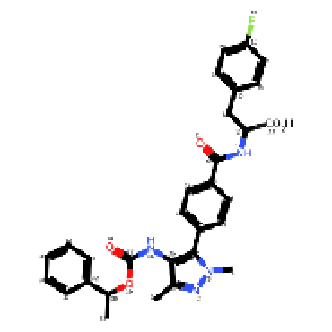 Cc1nn(C)c(-c2ccc(C(=O)NC(Cc3ccc(F)cc3)C(=O)O)cc2)c1NC(=O)OC(C)c1ccccc1